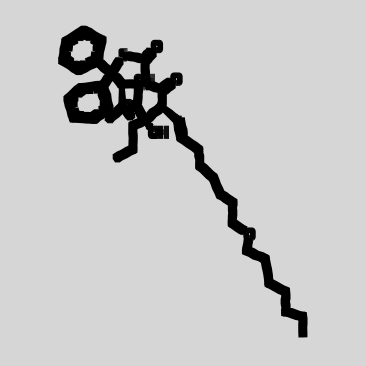 CCCCCCCOCCCCCCC=C[C@H](C(=O)N1C(=O)SC(c2ccccc2)(c2ccccc2)[C@@H]1C(C)C)[C@@](O)(CCC)C(=O)O